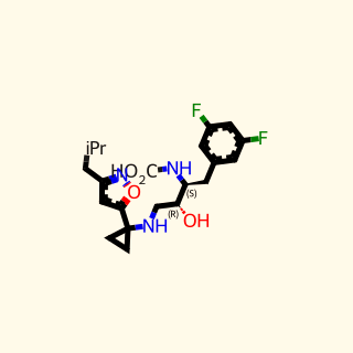 CC(C)Cc1cc(C2(NC[C@@H](O)[C@H](Cc3cc(F)cc(F)c3)NC(=O)O)CC2)on1